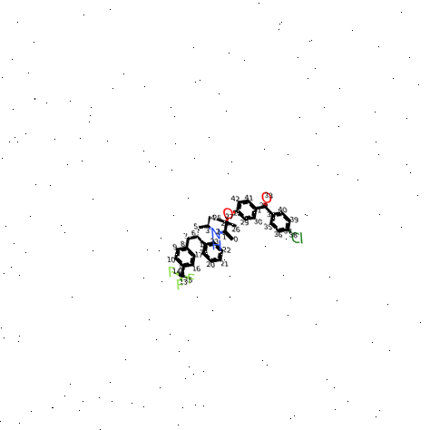 C=C(N[C@H](C)C[C@@H](Cc1ccc(C(F)(F)F)cc1)c1ccccc1)C(C)(C)Oc1ccc(C(=O)c2ccc(Cl)cc2)cc1